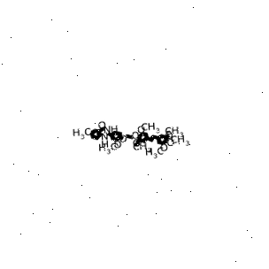 COc1cc(C2NC(=O)c3cc(C)ccc3N2)ccc1OCCOc1c(OC)cc(/C=C/c2cc(OC)c(OC)c(OC)c2)cc1OC